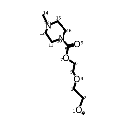 COCCOCCOC(=O)N1CCN(C)CC1